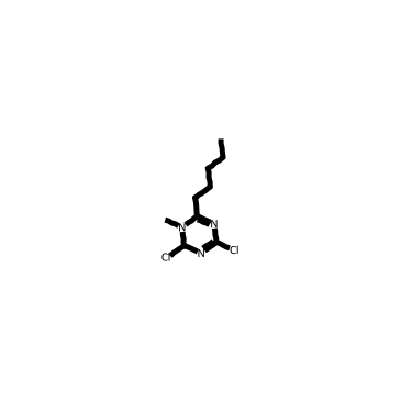 CCCCCC1=NC(Cl)=NC(Cl)N1C